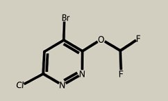 FC(F)Oc1nnc(Cl)cc1Br